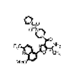 COc1ccc(-c2nc(C(=O)N3CCN(S(=O)(=O)N4CCCC4)CC3)c([C@H](C)N)o2)c2ccc(C(F)(F)F)nc12